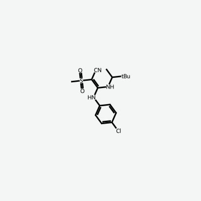 CC(NC(Nc1ccc(Cl)cc1)=C(C#N)S(C)(=O)=O)C(C)(C)C